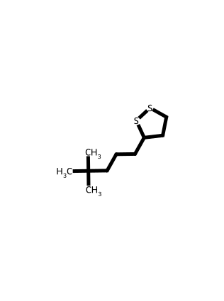 CC(C)(C)CCCC1CCSS1